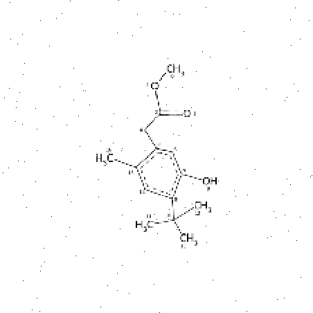 COC(=O)Cc1cc(O)c(C(C)(C)C)cc1C